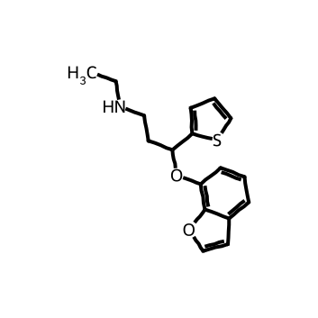 CCNCCC(Oc1cccc2ccoc12)c1cccs1